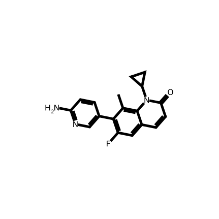 Cc1c(-c2ccc(N)nc2)c(F)cc2ccc(=O)n(C3CC3)c12